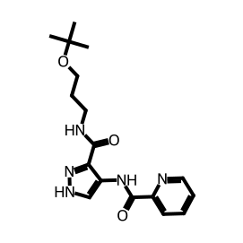 CC(C)(C)OCCCNC(=O)c1n[nH]cc1NC(=O)c1ccccn1